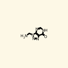 NCn1nnc2c(=O)[nH]cnc21